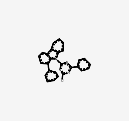 Clc1nc(-c2ccccc2)nc(-n2c3ccccc3c3cccc(-c4ccccc4)c32)n1